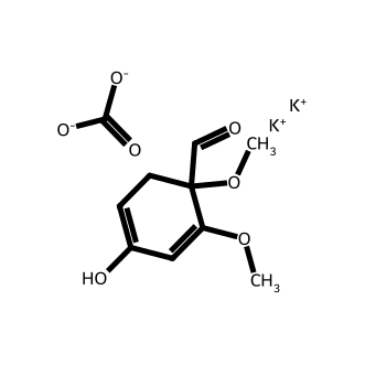 COC1=CC(O)=CCC1(C=O)OC.O=C([O-])[O-].[K+].[K+]